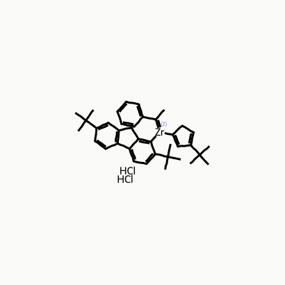 C/[C](c1ccccc1)=[Zr](\[C]1=CC(C(C)(C)C)=CC1)[c]1c(C(C)(C)C)ccc2c1Cc1cc(C(C)(C)C)ccc1-2.Cl.Cl